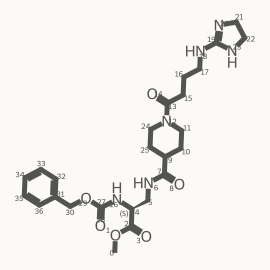 COC(=O)[C@H](CNC(=O)C1CCN(C(=O)CCCNC2=NCCN2)CC1)NC(=O)OCc1ccccc1